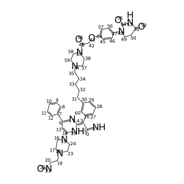 CC(=N)/C(=C1/N=C(c2ccccc2)C=C(N2CCN(CCN=O)CC2)N1)c1cccc(CCCCCN2CCN(C(=O)COc3ccc(N4CCC(=O)NC4=O)cc3)CC2)c1